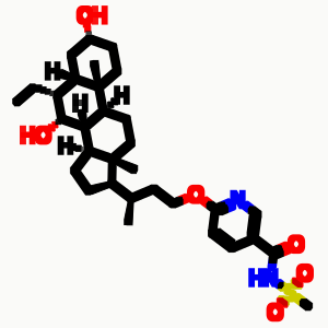 CC[C@H]1[C@@H](O)[C@@H]2[C@H](CC[C@]3(C)[C@@H]([C@H](C)CCOc4ccc(C(=O)NS(C)(=O)=O)cn4)CC[C@@H]23)[C@@]2(C)CC[C@@H](O)C[C@@H]12